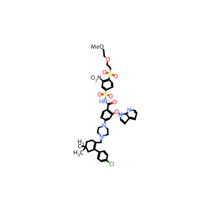 COCCOCCS(=O)(=O)c1ccc(S(=O)(=O)NC(=O)c2ccc(N3CCN(CC4=C(c5ccc(Cl)cc5)CC(C)(C)CC4)CC3)cc2On2ccc3cccnc32)cc1[N+](=O)[O-]